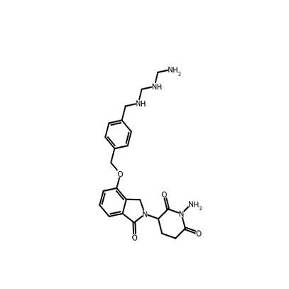 NCNCNCc1ccc(COc2cccc3c2CN(C2CCC(=O)N(N)C2=O)C3=O)cc1